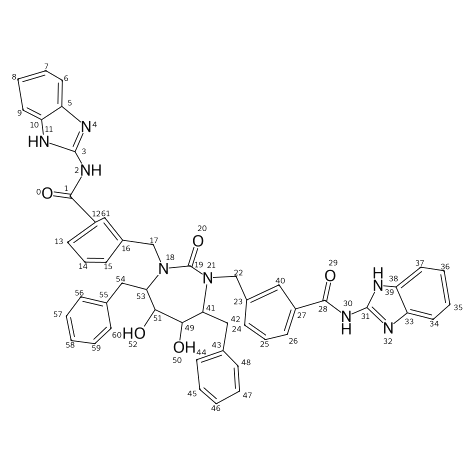 O=C(Nc1nc2ccccc2[nH]1)c1cccc(CN2C(=O)N(Cc3cccc(C(=O)Nc4nc5ccccc5[nH]4)c3)C(Cc3ccccc3)C(O)C(O)C2Cc2ccccc2)c1